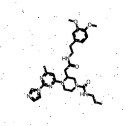 CCCNC(=O)N1CCN(c2cc(C)nc(-n3ccnc3)n2)C(CC(=O)NCCc2ccc(OC)c(OC)c2)C1